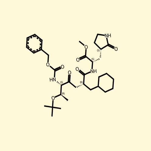 COC(=O)[C@H](C[C@@H]1CCNC1=O)NC(=O)[C@@H](CC(=O)[C@@H](NC(=O)OCc1ccccc1)[C@@H](C)OC(C)(C)C)CC1CCCCC1